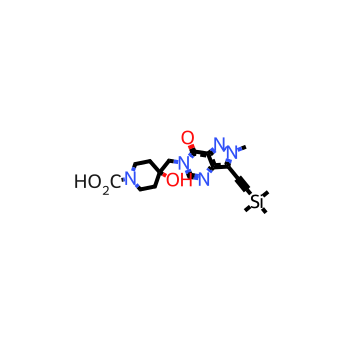 Cn1nc2c(=O)n(CC3(O)CCN(C(=O)O)CC3)cnc2c1C#C[Si](C)(C)C